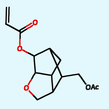 C=CC(=O)OC1C2CC3C(COC31)C2COC(C)=O